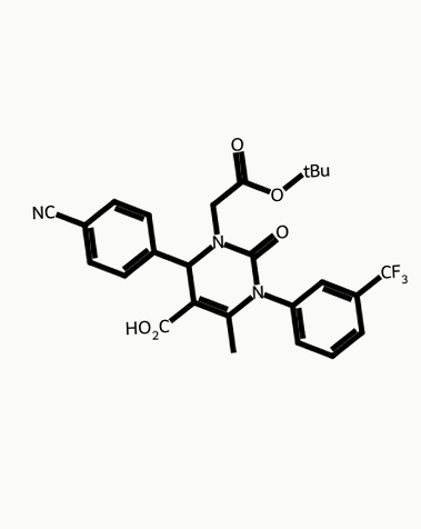 CC1=C(C(=O)O)C(c2ccc(C#N)cc2)N(CC(=O)OC(C)(C)C)C(=O)N1c1cccc(C(F)(F)F)c1